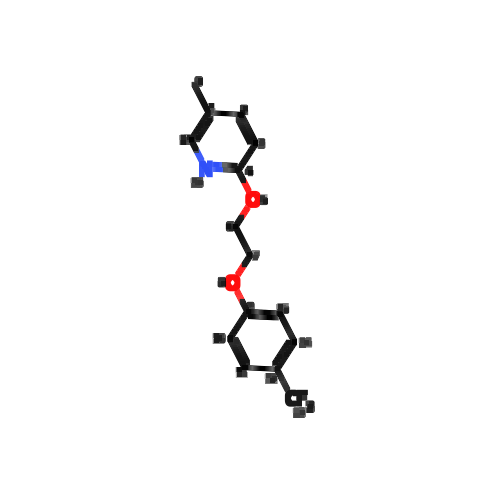 Cc1ccc(OCCOc2ccc(C(F)(F)F)cc2)nc1